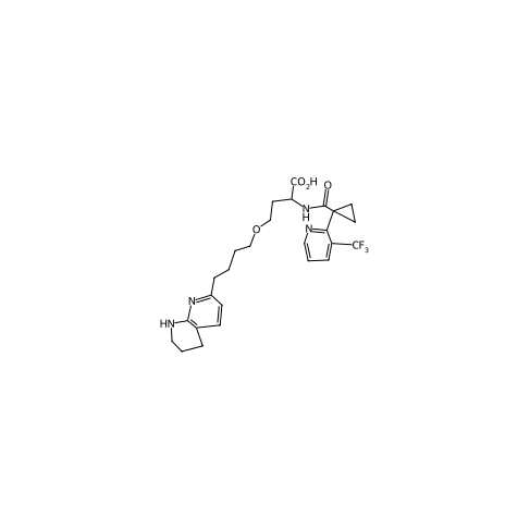 O=C(O)C(CCOCCCCc1ccc2c(n1)NCCC2)NC(=O)C1(c2ncccc2C(F)(F)F)CC1